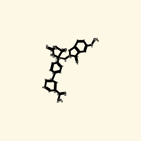 COc1ccc2c(c1)C(=O)N(C[C@@]1(c3ccc(-c4cncc(C(N)=O)c4)cc3)NC(=O)NC1=O)C2